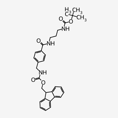 CC(C)(C)OC(=O)NCCCNC(=O)c1ccc(CNC(=O)OCC2c3ccccc3-c3ccccc32)cc1